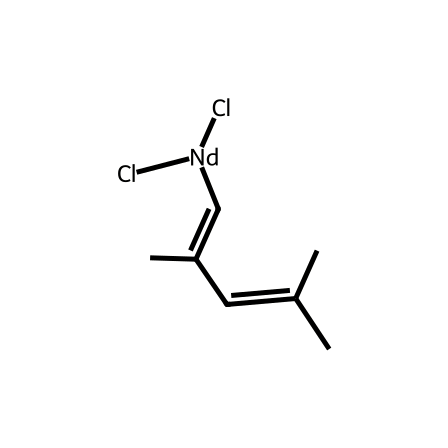 CC(C)=CC(C)=[CH][Nd]([Cl])[Cl]